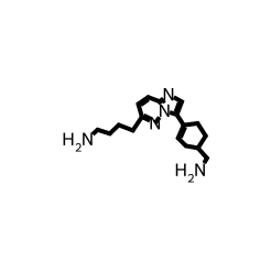 NCCCCc1ccc2ncc(C3=CCC(CN)CC3)n2n1